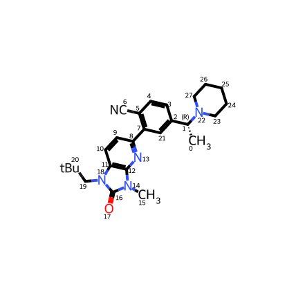 C[C@H](c1ccc(C#N)c(-c2ccc3c(n2)n(C)c(=O)n3CC(C)(C)C)c1)N1CCCCC1